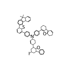 CC1(C)c2ccc3c(c2C2C=CC=CC21)SC1C(c2ccc(N(c4ccc(C5=C6OC7=C(C=CCC7)C6CCC5)cc4)C4C=CC(C5CC(I)CC6c7ccccc7OC65)CC4)cc2)=CC=CC31